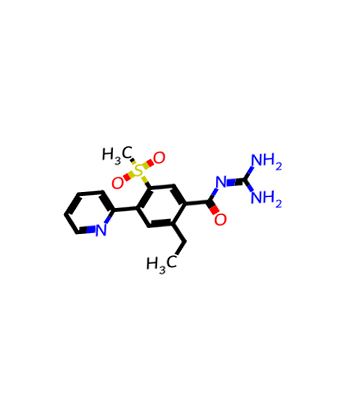 CCc1cc(-c2ccccn2)c(S(C)(=O)=O)cc1C(=O)N=C(N)N